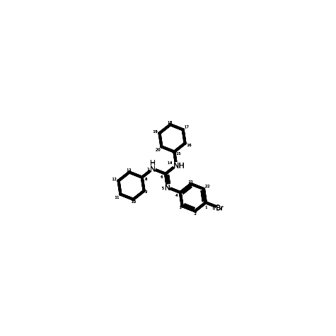 Brc1ccc(N=C(NC2CCCCC2)NC2CCCCC2)cc1